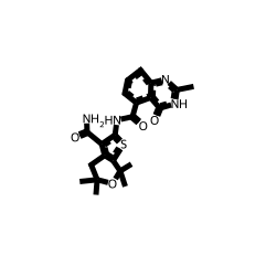 Cc1nc2cccc(C(=O)Nc3sc4c(c3C(N)=O)CC(C)(C)OC4(C)C)c2c(=O)[nH]1